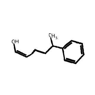 CC(CC/C=C\O)c1ccccc1